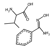 CC(C)C(N)C(=O)O.NC(=NO)c1ccccc1